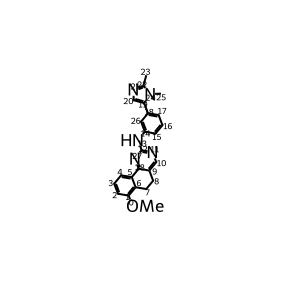 COc1cccc2c1CCc1cnc(Nc3cccc(-c4cnc(C)n4C)c3)nc1-2